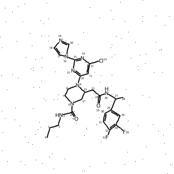 CCCNC(=O)N1CCN(c2cc(Cl)nc(-n3ccnc3)n2)C(CC(=O)NC(C)c2ccc(F)c(F)c2)C1